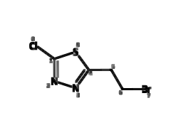 Clc1nnc(CCBr)s1